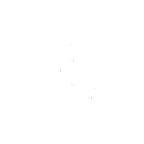 Cc1cccc(O)c1Nc1ccnc2c(S(C)(=O)=O)cccc12